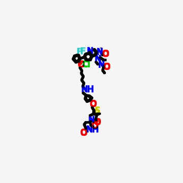 CCC(=O)N1CCN(c2c(N(C)C=O)cnc3c(F)c(-c4c(F)cccc4OCCCCCCCNCc4ccc(OCc5scc6c5CN(C5CCC(=O)NC5=O)C6=O)cc4)c(Cl)cc23)CC1C